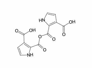 O=C(O)c1cc[nH]c1C(=O)OC(=O)c1[nH]ccc1C(=O)O